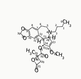 CCCCN1CCc2cc3c(cc2[C@@H]2[C@H](OC(=O)[C@@]4(C)CC(=O)O4)C(OC)=C[C@@H]21)OCO3